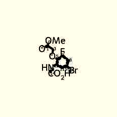 COC(=O)COc1c(F)cc(Br)cc1NC(=O)O